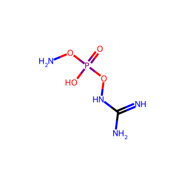 N=C(N)NOP(=O)(O)ON